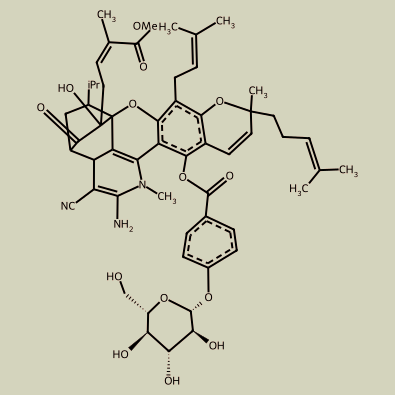 COC(=O)/C(C)=C\CC1(O)C(=O)C2CC(C(C)C)C13Oc1c(CC=C(C)C)c4c(c(OC(=O)c5ccc(O[C@H]6O[C@@H](CO)[C@H](O)[C@@H](O)[C@@H]6O)cc5)c1C1=C3C2C(C#N)=C(N)N1C)C=CC(C)(CCC=C(C)C)O4